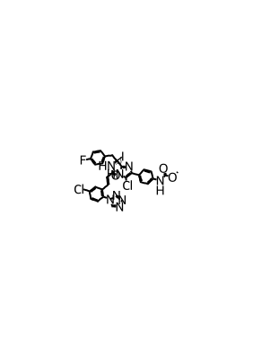 COC(=O)Nc1ccc(-c2nc([C@@](I)(Cc3ccc(F)cc3)NC(=O)C=Cc3cc(Cl)ccc3-n3cnnn3)[nH]c2Cl)cc1